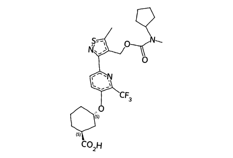 Cc1snc(-c2ccc(O[C@H]3CCC[C@H](C(=O)O)C3)c(C(F)(F)F)n2)c1COC(=O)N(C)C1CCCC1